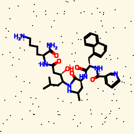 CC(C)C[C@H](NC(=O)[C@H](Cc1cccc2ccccc12)NC(=O)c1cccnc1)C(=O)N[C@@H](CC(C)C)[C@@H](O)CC(=O)N[C@@H](CCCCN)C(N)=O